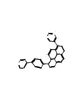 c1cc(-c2ccc(-c3ccc4ccc5ccc(-c6cncnc6)c6ccc3c4c56)cc2)ccn1